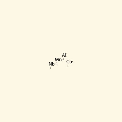 [Al].[Co].[Mn].[Nb]